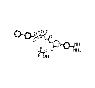 N=C(N)c1ccc(N2CCN(CC(=O)NC[C@H](NS(=O)(=O)c3ccc(-c4ccccc4)cc3)C(=O)O)C(=O)C2)cc1.O=C(O)C(F)(F)F